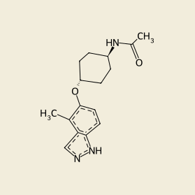 CC(=O)N[C@H]1CC[C@H](Oc2ccc3[nH]ncc3c2C)CC1